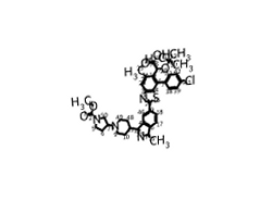 COC(=O)N1CCC(N2CCC(C3=NC(C)c4ccc(-c5nc6cc(C)c([C@H](OC(C)(C)C)C(=O)O)c(-c7ccc(Cl)cc7)c6s5)cc43)CC2)C1